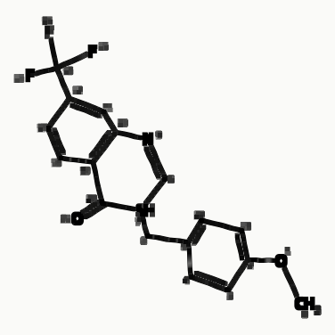 COc1ccc(C[SH]2C=Nc3cc(C(F)(F)F)ccc3C2=O)cc1